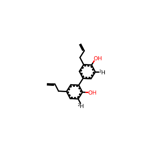 [2H]c1cc(-c2cc(CC=C)cc([2H])c2O)cc(CC=C)c1O